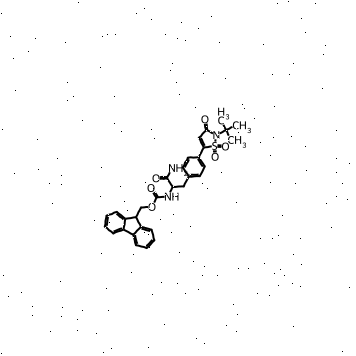 CC(C)(C)N1C(=O)C=C(c2ccc(CC(NC(=O)OCC3c4ccccc4-c4ccccc43)C(N)=O)cc2)S1(=O)=O